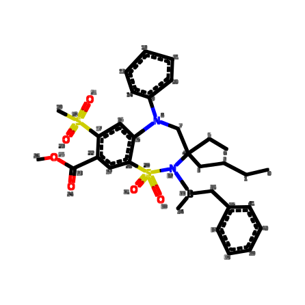 CCCCC1(CC)CN(c2ccccc2)c2cc(S(C)(=O)=O)c(C(=O)OC)cc2S(=O)(=O)N1B(C)Cc1ccccc1